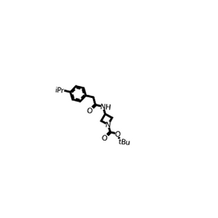 CC(C)c1ccc(CC(=O)NC2CN(C(=O)OC(C)(C)C)C2)cc1